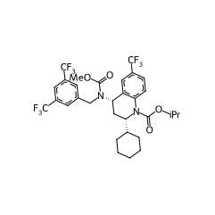 COC(=O)N(Cc1cc(C(F)(F)F)cc(C(F)(F)F)c1)[C@H]1C[C@@H](C2CCCCC2)N(C(=O)OC(C)C)c2ccc(C(F)(F)F)cc21